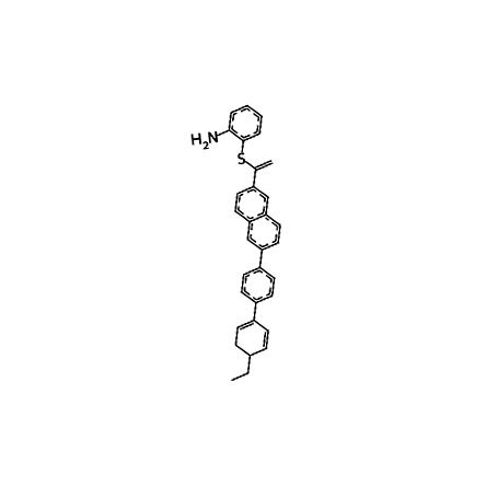 C=C(Sc1ccccc1N)c1ccc2cc(-c3ccc(C4=CCC(CC)C=C4)cc3)ccc2c1